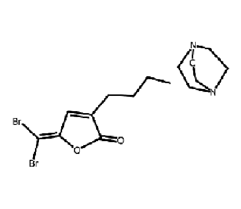 C1CN2CCN1CC2.CCCCC1=CC(=C(Br)Br)OC1=O